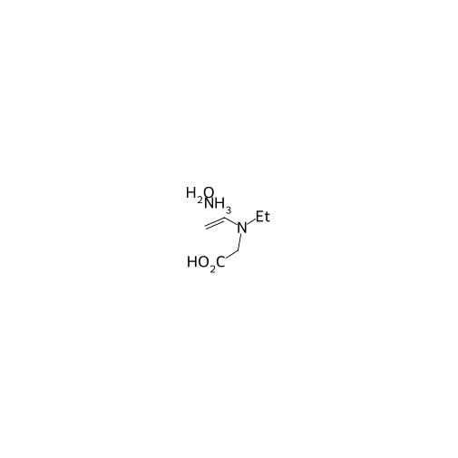 C=CN(CC)CC(=O)O.N.O